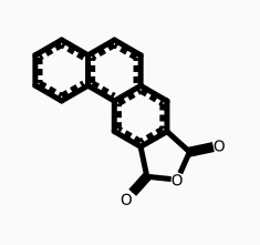 O=C1OC(=O)c2cc3c(ccc4ccccc43)cc21